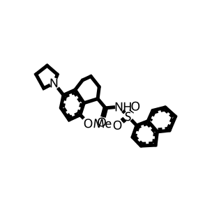 COc1ccc(N2CCCC2)c2c1C(C(=O)NS(=O)(=O)c1cccc3ccccc13)CCC2